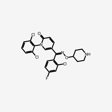 O=c1ccc(C(=NOC2CCNCC2)c2ccc(F)cc2Cl)cn1-c1c(Cl)cccc1Cl